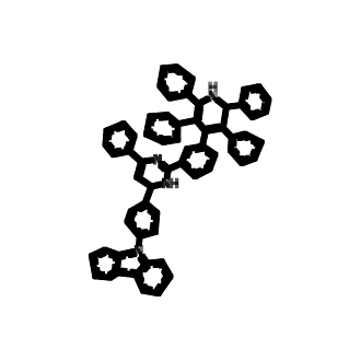 C1=C(c2ccccc2)N=C(c2cccc(C3=C(c4ccccc4)C(c4ccccc4)NC(c4ccccc4)=C3c3ccccc3)c2)NC1c1ccc(-n2c3ccccc3c3ccccc32)cc1